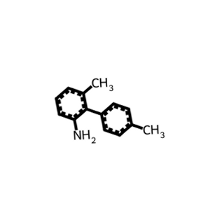 Cc1ccc(-c2c(C)cccc2N)cc1